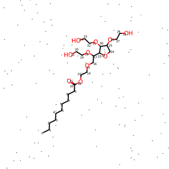 CCCCCCCCCCC(=O)OCCOCC(OCCO)C1OCC(OCCO)C1OCCO